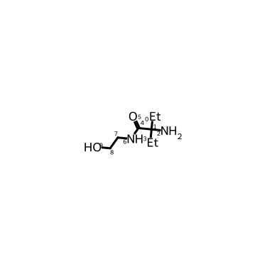 CCC(N)(CC)C(=O)NCCO